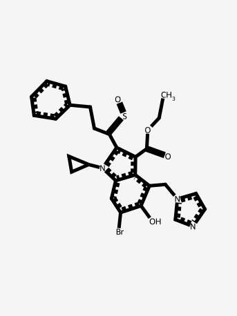 CCOC(=O)c1c(C(CCc2ccccc2)=S=O)n(C2CC2)c2cc(Br)c(O)c(Cn3ccnc3)c12